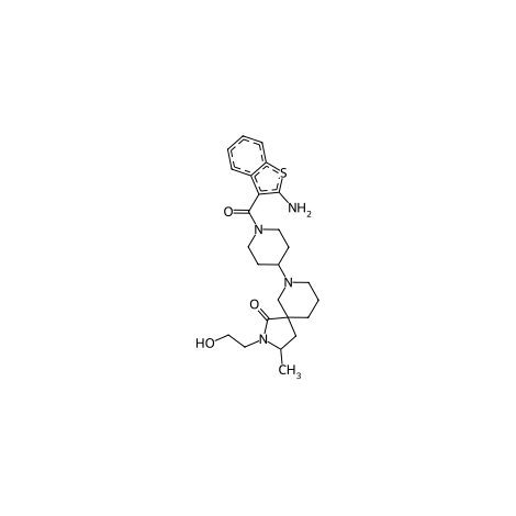 CC1CC2(CCCN(C3CCN(C(=O)c4c(N)sc5ccccc45)CC3)C2)C(=O)N1CCO